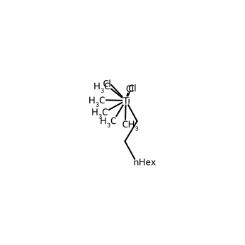 CCCCCCC[CH2][Ti]([CH3])([CH3])([CH3])([CH3])([CH3])([Cl])([Cl])[Cl]